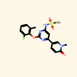 CCCCS(=O)(=O)Nc1cc(-c2ccc(=O)n(C)c2)nc(Oc2c(C)cccc2F)n1